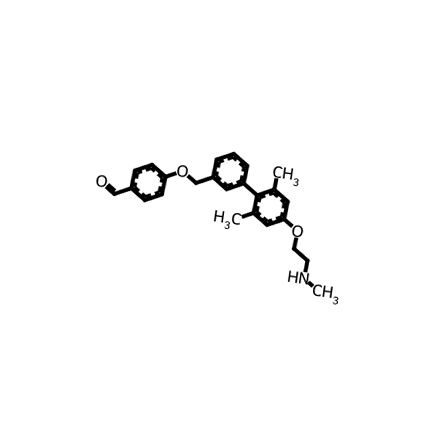 CNCCOc1cc(C)c(-c2cccc(COc3ccc(C=O)cc3)c2)c(C)c1